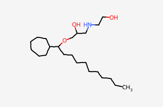 CCCCCCCCCCC(OCC(O)CNCCO)C1CCCCCC1